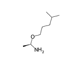 CC(C)CCCO[C@H](C)N